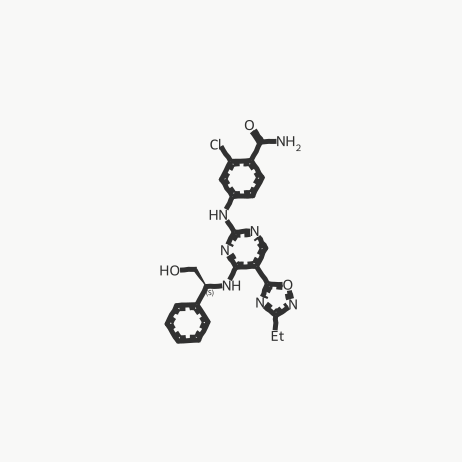 CCc1noc(-c2cnc(Nc3ccc(C(N)=O)c(Cl)c3)nc2N[C@H](CO)c2ccccc2)n1